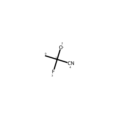 CC([O])(F)C#N